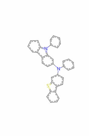 c1ccc(N(c2ccc3c(c2)sc2ccccc23)c2ccc3c4ccccc4n(-c4ccccc4)c3c2)cc1